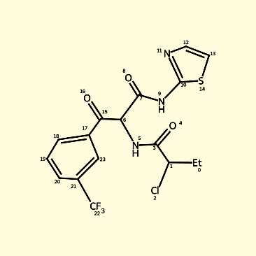 CCC(Cl)C(=O)NC(C(=O)Nc1nccs1)C(=O)c1cccc(C(F)(F)F)c1